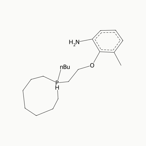 CCCC[PH]1(CCOc2c(C)cccc2N)CCCCCCC1